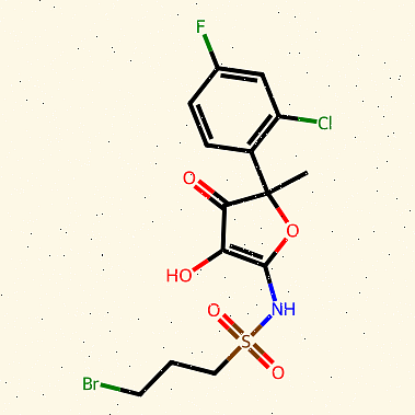 CC1(c2ccc(F)cc2Cl)OC(NS(=O)(=O)CCCBr)=C(O)C1=O